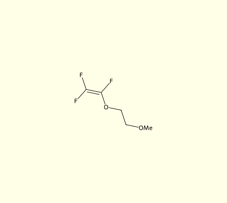 COCCOC(F)=C(F)F